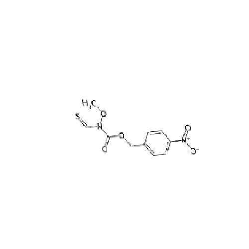 CON(C=S)C(=O)OCc1ccc([N+](=O)[O-])cc1